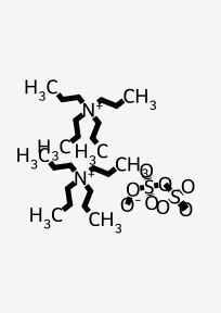 CCC[N+](CCC)(CCC)CCC.CCC[N+](CCC)(CCC)CCC.O=S(=O)([O-])OS(=O)(=O)O[O-]